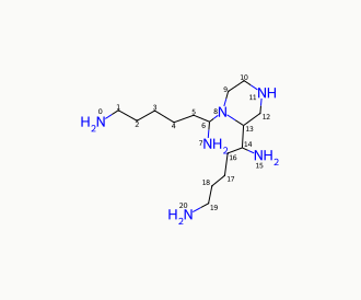 NCCCCCC(N)N1CCNCC1C(N)CCCCN